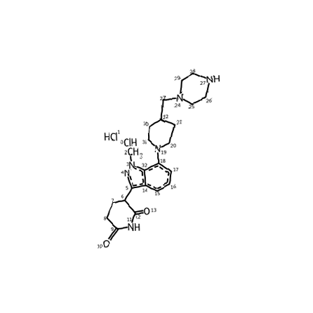 Cl.Cl.Cn1nc(C2CCC(=O)NC2=O)c2cccc(N3CCC(CN4CCNCC4)CC3)c21